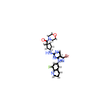 CC1(C(=O)N2CCOCC2)CC[C@@H](Nc2ncc3c(Br)nn(-c4cc(F)c5ncccc5c4)c3n2)C1